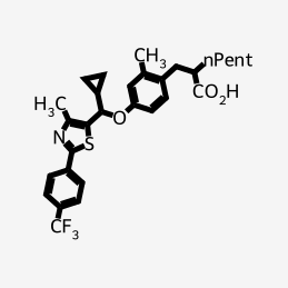 CCCCCC(Cc1ccc(OC(c2sc(-c3ccc(C(F)(F)F)cc3)nc2C)C2CC2)cc1C)C(=O)O